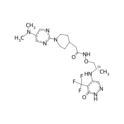 C[C@@H](CONC(=O)CC1CCN(c2ncc(N(C)C)cn2)CC1)Nc1cn[nH]c(=O)c1C(F)(F)F